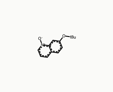 CC(C)(C)Oc1ccc2ccc[n+]([O-])c2c1